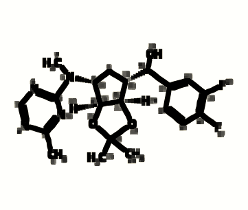 Cc1ncnc(N(C)[C@@H]2C[C@H](C(O)c3ccc(F)c(F)c3)[C@H]3OC(C)(C)O[C@H]32)n1